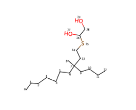 CCCCCCCC(C)(CCCC)CCSC(O)CO